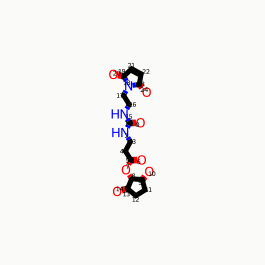 O=C(NCCC(=O)OC1C(=O)CCC1=O)NCCN1C(=O)C=CC1=O